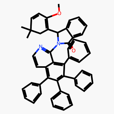 COC1=C(C2c3ccccc3C(=O)N2c2nccc3c(-c4ccccc4)c(-c4ccccc4)c(-c4ccccc4)c(-c4ccccc4)c23)CC(C)(C)C=C1